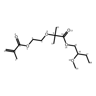 C=C(C)C(=O)OCCOC(C)(C)C(=O)OCC(CC)OC